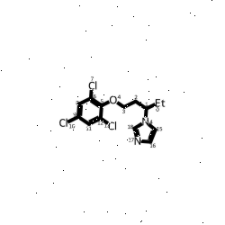 CCC(CCOc1c(Cl)cc(Cl)cc1Cl)n1ccnc1